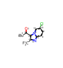 CCC(C)C(=O)c1c(C(F)(F)F)nc2ccc(Cl)cn12